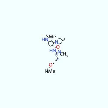 C=N/C(=C\C=C/CCOCCNC)NC(=O)c1ccc(NSC)cc1N1CCC2(CC1)CC2